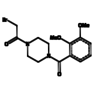 COc1cccc(C(=O)N2CCN(C(=O)CBr)CC2)c1OC